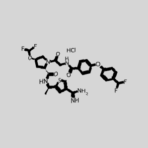 C[C@@H](NC(=O)[C@@H]1C[C@@H](OC(F)F)CN1C(=O)CNC(=O)c1ccc(Oc2ccc(C(F)F)cc2)cc1)c1cc(C(=N)N)cs1.Cl